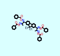 CCC1(CC)c2cc(C(=N/OC(=O)c3ccccc3)/C(C)=N/OC(=O)c3ccccc3)ccc2-c2ccc(C(=N/OC(=O)c3ccccc3)/C(C)=N/OC(=O)c3ccccc3)cc21